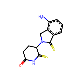 Nc1cccc2c1CN(C1CCC(=O)NC1=S)C2=S